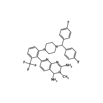 CN1C(N)=Nc2nc(-c3c(N4CCN(C(c5ccc(F)cc5)c5ccc(F)cc5)CC4)cccc3C(F)(F)F)ccc2C1N